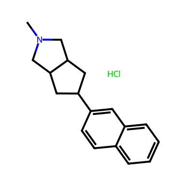 CN1CC2CC(c3ccc4ccccc4c3)CC2C1.Cl